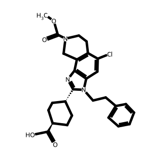 COC(=O)N1CCc2c(Cl)cc3c(nc([C@H]4CC[C@H](C(=O)O)CC4)n3CCc3ccccc3)c2C1